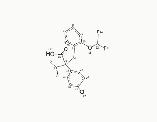 CC(C)C(Cc1ccccc1OC(F)F)(C(=O)O)c1ccc(Cl)cc1